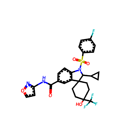 O=C(Nc1ccon1)c1ccc2c(c1)C1(CCC(O)(C(F)(F)F)CC1)C(C1CC1)N2S(=O)(=O)c1ccc(F)cc1